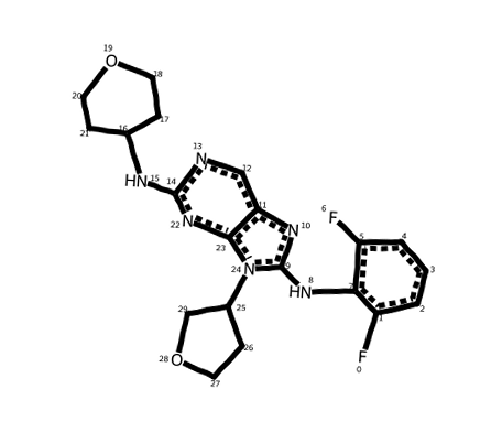 Fc1cccc(F)c1Nc1nc2cnc(NC3CCOCC3)nc2n1C1CCOC1